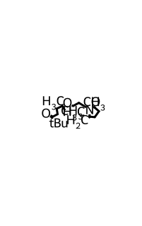 C=C1CCC(=O)N1C(C)(C)CCOC(C)(C)CCC(=O)C(C)(C)C